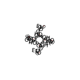 CCC1C2CC3CC(C2)CC1(OC(=O)CCOc1ccc(C2c4cc(c(O)cc4O)C(c4ccc(OCCC(=O)OC56CC7CC(CC(C7)C5CC)C6)cc4)c4cc(c(O)cc4O)C(c4ccc(OCCC(=O)OC5(CC)C6CC7CC(C6)CC5C7)cc4)c4cc(c(O)cc4O)C(c4ccc(OCCC(=O)OC5(CC)C6CC7CC(C6)CC5C7)cc4)c4cc2c(O)cc4O)cc1)C3